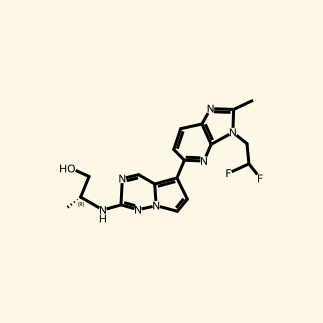 Cc1nc2ccc(-c3ccn4nc(N[C@H](C)CO)ncc34)nc2n1CC(F)F